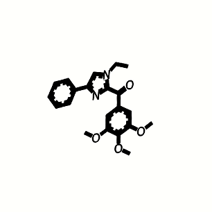 CCn1cc(-c2ccccc2)nc1C(=O)c1cc(OC)c(OC)c(OC)c1